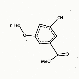 CCCCCCOc1cc(C#N)cc(C(=O)OC)c1